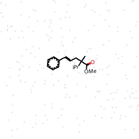 COC(=O)C(C)(CC=Cc1ccccc1)C(C)C